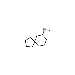 NC1CCCC2(CCCC2)C1